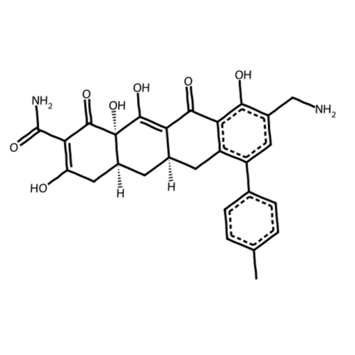 Cc1ccc(-c2cc(CN)c(O)c3c2C[C@H]2C[C@H]4CC(O)=C(C(N)=O)C(=O)[C@@]4(O)C(O)=C2C3=O)cc1